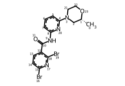 C[C@@H]1CN(c2cccc(NC(=O)c3ccc(Br)nc3Br)n2)CCO1